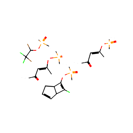 CNC(=O)/C=C(\C)OP(=O)(OC)OC.COC(=O)/C=C(\C)OP(=O)(OC)OC.COP(=O)(OC)OC(Br)C(Cl)(Cl)Br.COP(=O)(OC)OC1=C(Cl)C2C=CCC12